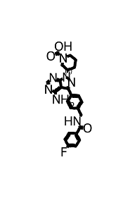 Nc1ncnc2c1c(-c1ccc(CNC(=O)c3ccc(F)cc3)cc1)nn2[C@@H]1CCCN(C(=O)O)C1